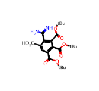 CC(C)(C)OC(=O)c1cc(C(=O)O)c(C(=N)N)c(C(=O)OC(C)(C)C)c1C(=O)OC(C)(C)C